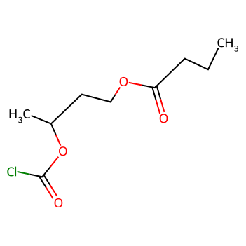 CCCC(=O)OCCC(C)OC(=O)Cl